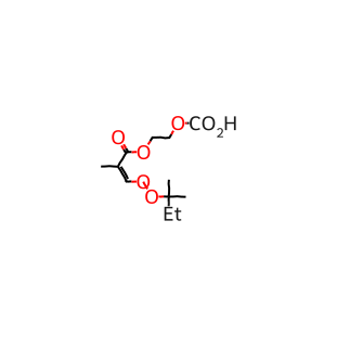 CCC(C)(C)OOC=C(C)C(=O)OCCOC(=O)O